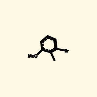 COc1cccc(Br)c1C